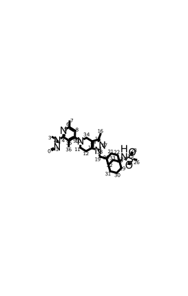 C=NN(C)c1nc(C)cc(N2CCc3c(c(C)nn3CC3CCC4(NS(C)(=O)=O)CCCC3C4)C2)c1C